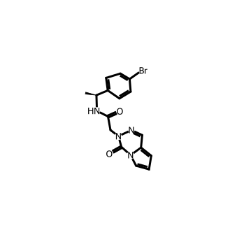 C[C@H](NC(=O)Cn1ncc2cccn2c1=O)c1ccc(Br)cc1